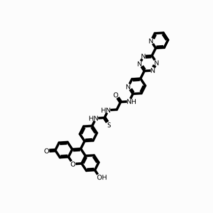 O=C(CNC(=S)Nc1ccc(-c2c3ccc(=O)cc-3oc3cc(O)ccc23)cc1)Nc1ccc(-c2nnc(-c3ccccn3)nn2)cn1